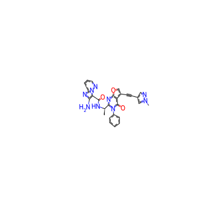 C[C@@H](NC(=O)c1c(N)nc2cccnn12)c1nc2occ(C#Cc3cnn(C)c3)c2c(=O)n1-c1ccccc1